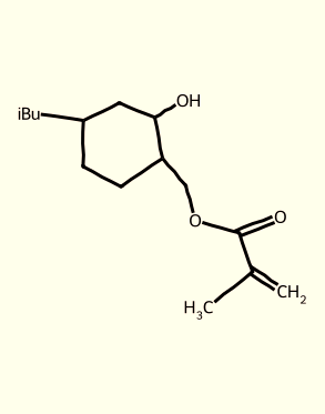 C=C(C)C(=O)OCC1CCC(C(C)CC)CC1O